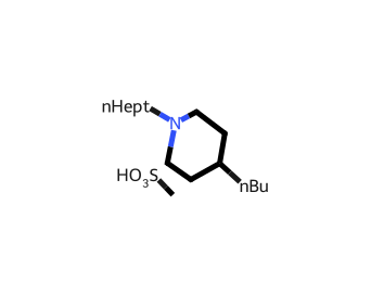 CCCCCCCN1CCC(CCCC)CC1.CS(=O)(=O)O